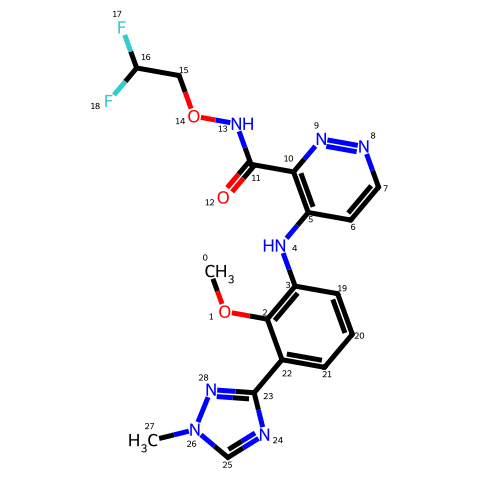 COc1c(Nc2ccnnc2C(=O)NOCC(F)F)cccc1-c1ncn(C)n1